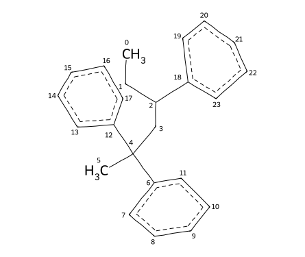 CCC(CC(C)(c1ccccc1)c1ccccc1)c1ccccc1